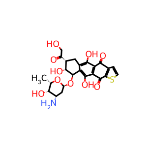 C[C@@H]1O[C@@H](O[C@@H]2c3c(O)c4c(c(O)c3C[C@@H](C(=O)CO)[C@H]2O)C(=O)c2ccsc2C4=O)C[C@H](N)[C@@H]1O